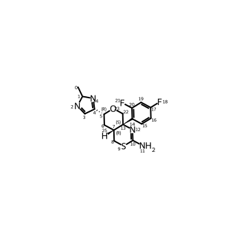 CC1N=CC([C@H]2C[C@H]3CSC(N)=N[C@@]3(c3ccc(F)cc3F)CO2)=N1